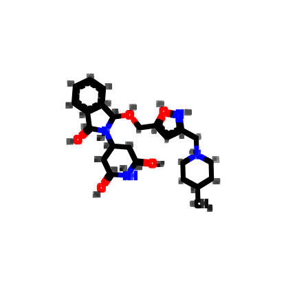 CC1CCN(Cc2cc(COC3c4ccccc4C(=O)N3C3CC(=O)NC(=O)C3)on2)CC1